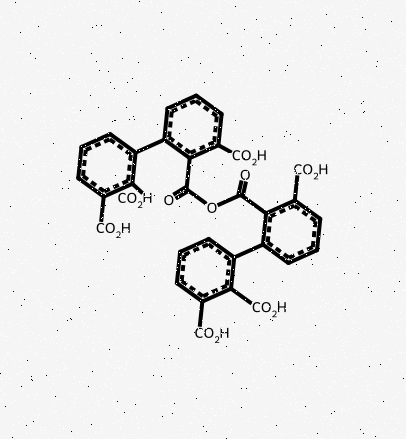 O=C(O)c1cccc(-c2cccc(C(=O)O)c2C(=O)OC(=O)c2c(C(=O)O)cccc2-c2cccc(C(=O)O)c2C(=O)O)c1C(=O)O